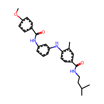 COc1ccc(C(=O)Nc2cccc(Nc3ccc(C(=O)NCCC(C)C)cc3C)c2)cc1